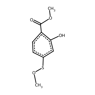 COSc1ccc(C(=O)OC)c(O)c1